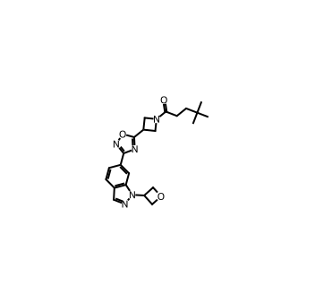 CC(C)(C)CCC(=O)N1CC(c2nc(-c3ccc4cnn(C5COC5)c4c3)no2)C1